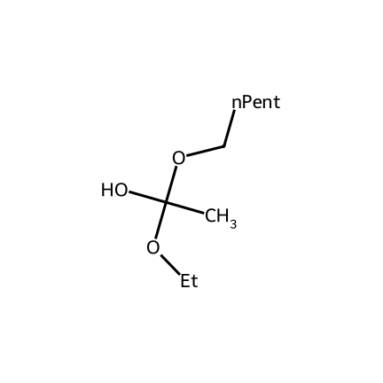 CCCCCCOC(C)(O)OCC